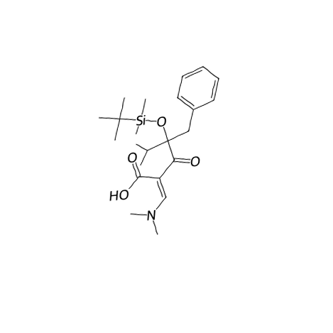 CC(C)C(Cc1ccccc1)(O[Si](C)(C)C(C)(C)C)C(=O)C(=CN(C)C)C(=O)O